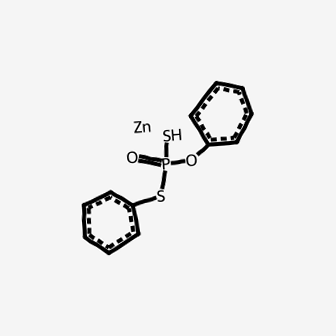 O=P(S)(Oc1ccccc1)Sc1ccccc1.[Zn]